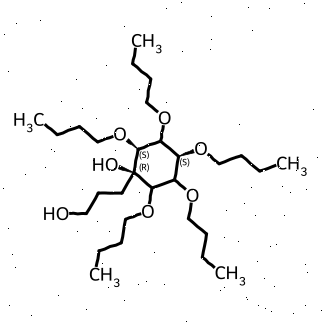 CCCCOC1C(OCCCC)[C@](O)(CCCO)[C@@H](OCCCC)C(OCCCC)[C@H]1OCCCC